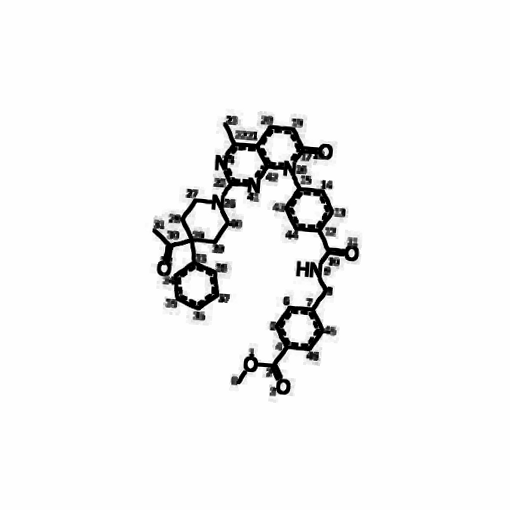 COC(=O)c1ccc(CNC(=O)c2ccc(-n3c(=O)ccc4c(C)nc(N5CCC(C(C)=O)(c6ccccc6)CC5)nc43)cc2)cc1